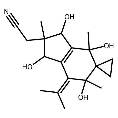 CC(C)=C1C2=C(C(O)C(C)(CC#N)C2O)C(C)(O)C2(CC2)C1(C)O